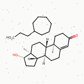 C[C@]12CC[C@H]3[C@@H](CCC4=CC(=O)CC[C@@]43C)[C@@H]1CC[C@@H]2O.O=C(O)CCC1CCCCCC1